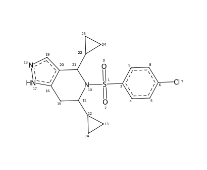 O=S(=O)(c1ccc(Cl)cc1)N1C(C2CC2)Cc2[nH]ncc2C1C1CC1